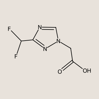 O=C(O)Cn1cnc(C(F)F)n1